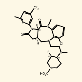 Cc1cc(C(F)(F)F)cc(N2C(=O)C[C@@H]3CN(CCN(C)[C@H]4CCN(C(=O)O)C[C@H]4F)c4c(Cl)cccc4N(C)C(=O)[C@H]32)n1